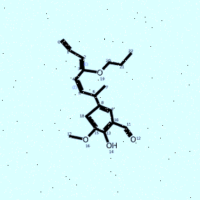 C=C/C=C(\C=C/C(C)c1cc(C=O)c(O)c(OC)c1)OCCC